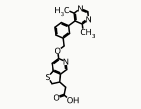 Cc1ncnc(C)c1-c1cccc(COc2cc3c(cn2)C(CC(=O)O)CS3)c1